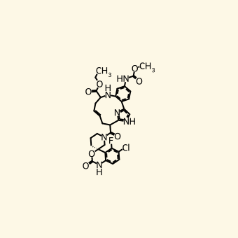 CCOC(=O)C1C/C=C/CC(C(=O)N2CCC[C@@]3(C2)OC(=O)Nc2ccc(Cl)c(F)c23)c2nc(c[nH]2)-c2ccc(NC(=O)OC)cc2N1